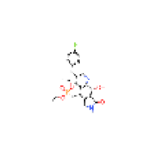 CCOP(=O)(Cc1c2c(c(O)c3ncc(Cc4ccc(F)cc4)cc13)C(=O)N(C)C2)OCC